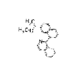 C=C(OC)c1ccc2cccc(-c3nccc4c3=CCCC=4)c2c1